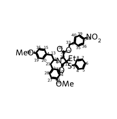 CCC1(Sc2ccccc2)C(=O)N(C(Cc2ccc(OC)cc2)Cc2ccc(OC)cc2)C1C(=O)OCc1ccc([N+](=O)[O-])cc1